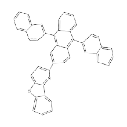 c1ccc2cc(-c3c4ccccc4c(-c4ccc5ccccc5c4)c4cc(-c5ccc6oc7ccccc7c6n5)ccc34)ccc2c1